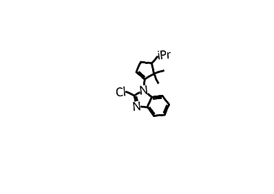 CC(C)C1CC=C(n2c(Cl)nc3ccccc32)C1(C)C